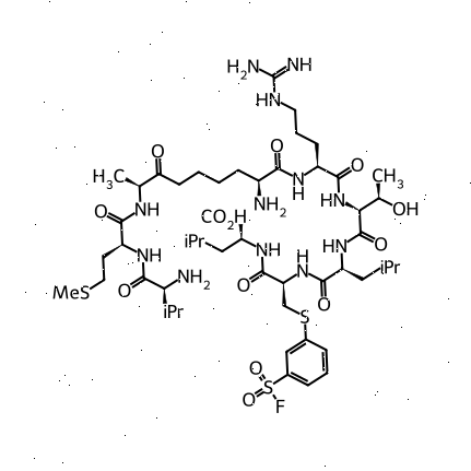 CSCC[C@H](NC(=O)[C@@H](N)C(C)C)C(=O)N[C@@H](C)C(=O)CCCC[C@H](N)C(=O)N[C@@H](CCCNC(=N)N)C(=O)N[C@H](C(=O)N[C@@H](CC(C)C)C(=O)N[C@@H](CSc1cccc(S(=O)(=O)F)c1)C(=O)N[C@@H](CC(C)C)C(=O)O)[C@@H](C)O